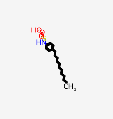 CCCCCCCCCCCCc1ccc(NSOOO)cc1